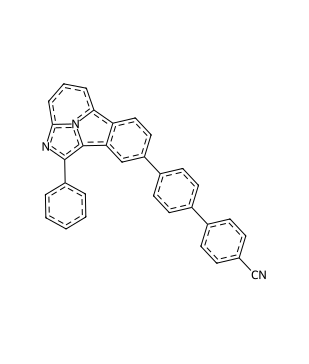 N#Cc1ccc(-c2ccc(-c3ccc4c(c3)c3c(-c5ccccc5)nc5cccc4n53)cc2)cc1